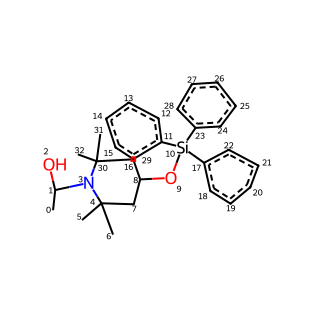 CC(O)N1C(C)(C)CC(O[Si](c2ccccc2)(c2ccccc2)c2ccccc2)CC1(C)C